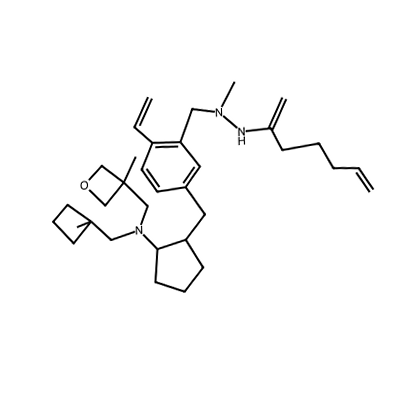 C=CCCCC(=C)NN(C)Cc1cc(CC2CCCC2N(CC2(C)CCC2)CC2(C)COC2)ccc1C=C